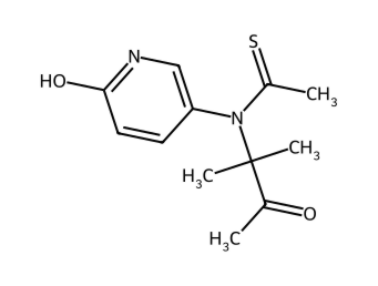 CC(=O)C(C)(C)N(C(C)=S)c1ccc(O)nc1